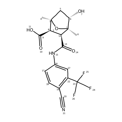 C[C@]12O[C@](C)(C[C@@H]1O)[C@H](C(=O)O)[C@@H]2C(=O)Nc1ccc(C#N)c(C(F)(F)F)c1